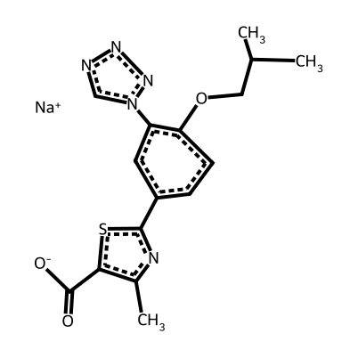 Cc1nc(-c2ccc(OCC(C)C)c(-n3cnnn3)c2)sc1C(=O)[O-].[Na+]